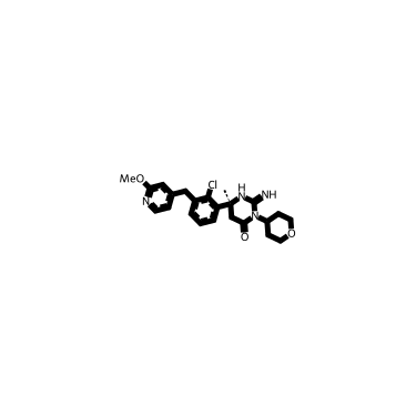 COc1cc(Cc2cccc([C@]3(C)CC(=O)N(C4CCOCC4)C(=N)N3)c2Cl)ccn1